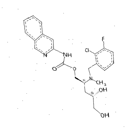 CN(Cc1cccc(F)c1Cl)[C@H](COC(=O)Nc1cc2ccccc2cn1)C[C@H](O)CO